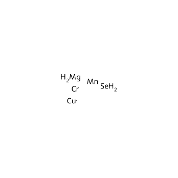 [Cr].[Cu].[MgH2].[Mn].[SeH2]